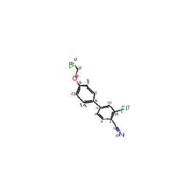 N#Cc1ccc(-c2ccc(OCBr)cc2)cc1F